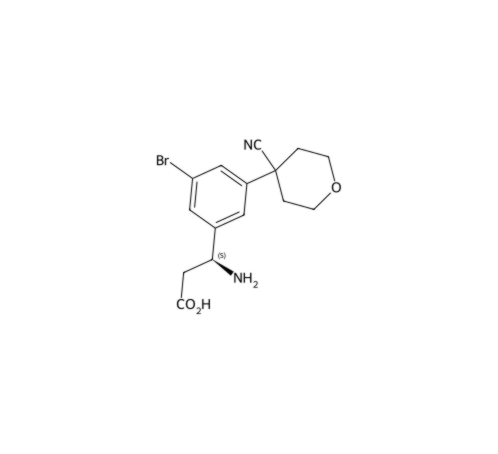 N#CC1(c2cc(Br)cc([C@@H](N)CC(=O)O)c2)CCOCC1